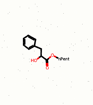 CCCCCOC(=O)C(O)Cc1ccccc1